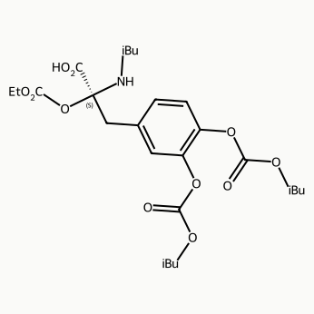 CCOC(=O)O[C@](Cc1ccc(OC(=O)OC(C)CC)c(OC(=O)OC(C)CC)c1)(NC(C)CC)C(=O)O